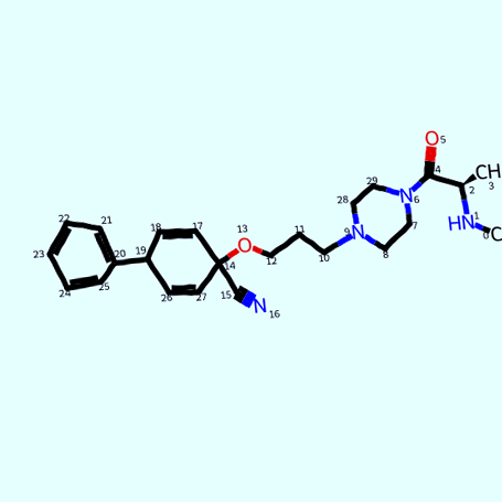 CN[C@H](C)C(=O)N1CCN(CCCOC2(C#N)C=CC(c3ccccc3)C=C2)CC1